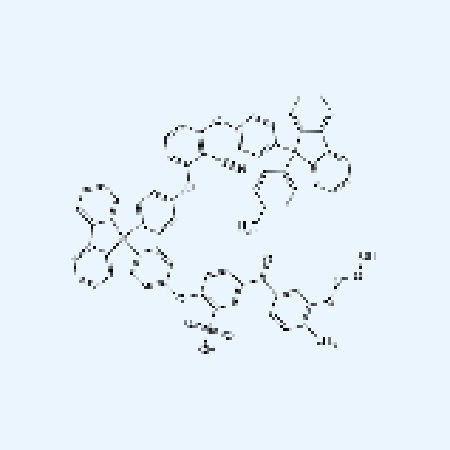 Cc1ccc(C2(c3ccc(Oc4cccc(Oc5ccc(C6(c7ccc(Oc8ccc(C(=O)c9ccc(C)c(SOOO)c9)cc8S(=O)(=O)O)cc7)c7ccccc7-c7ccccc76)cc5)c4C#N)cc3)c3ccccc3-c3ccccc32)cc1